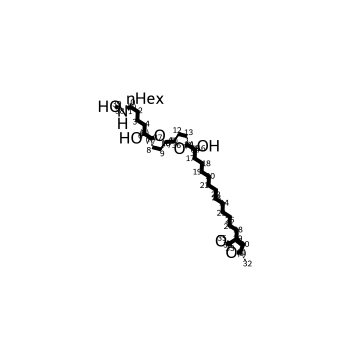 CCCCCC[C@H](CCC[C@H](O)[C@H]1CC[C@H]([C@H]2CC[C@H]([C@H](O)CCCCCCCCCCCCC3=C[C@H](C)OC3=O)O2)O1)NO